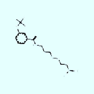 CN(C)CCSSCCCNC(=O)c1cccc(OC(F)(F)F)c1